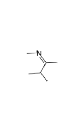 C/N=C(/C)C(C)C